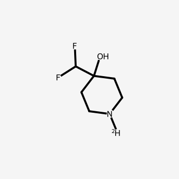 [2H]N1CCC(O)(C(F)F)CC1